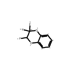 FC1Oc2cc[c]cc2OC1(F)F